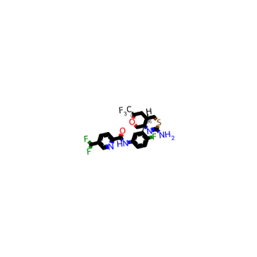 NC1=N[C@@]2(c3cc(NC(=O)c4ccc(C(F)F)cn4)ccc3F)CO[C@@H](C(F)(F)F)C[C@H]2CS1